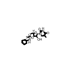 Cc1cn([C@@H]2O[C@@H]3COP(=S)(Nc4ccccc4)OC3C2O)c(=O)[nH]c1=O